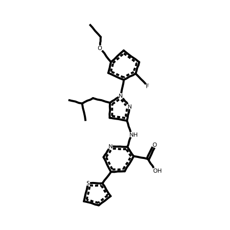 CCOc1ccc(F)c(-n2nc(Nc3ncc(-c4cccs4)cc3C(=O)O)cc2CC(C)C)c1